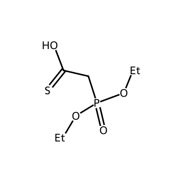 CCOP(=O)(CC(O)=S)OCC